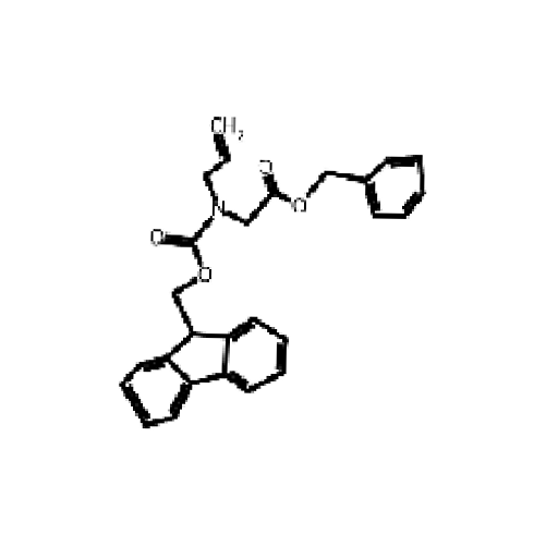 C=CCN(CC(=O)OCc1ccccc1)C(=O)OCC1c2ccccc2-c2ccccc21